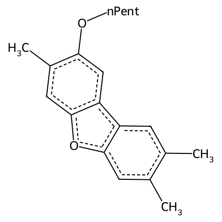 CCCCCOc1cc2c(cc1C)oc1cc(C)c(C)cc12